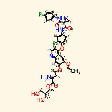 CCOc1cc2c(Oc3ccc(NC(=O)C4(C(=O)Nc5ccc(F)cc5)CC4)cc3F)ccnc2cc1OCCC(N)C(=O)OCC(CO)CO